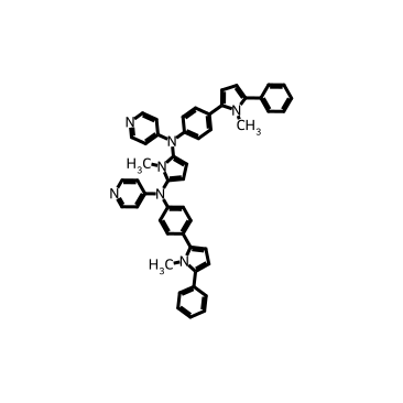 Cn1c(-c2ccccc2)ccc1-c1ccc(N(c2ccncc2)c2ccc(N(c3ccncc3)c3ccc(-c4ccc(-c5ccccc5)n4C)cc3)n2C)cc1